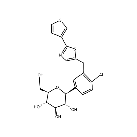 OC[C@H]1O[C@@H](c2ccc(Cl)c(Cc3cnc(-c4ccsc4)s3)c2)[C@H](O)[C@@H](O)[C@@H]1O